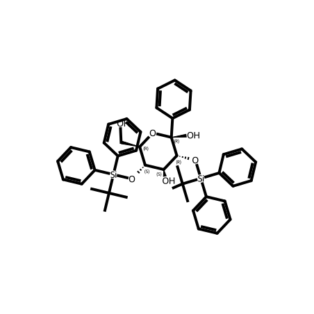 CC(C)(C)[Si](O[C@H]1[C@H](O)[C@@H](O[Si](c2ccccc2)(c2ccccc2)C(C)(C)C)[C@@](O)(c2ccccc2)O[C@@H]1CO)(c1ccccc1)c1ccccc1